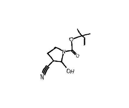 CC(C)(C)OC(=O)N1CCC(C#N)C1O